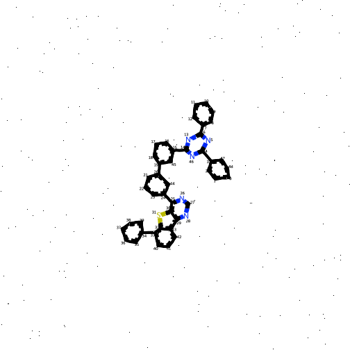 c1ccc(-c2nc(-c3ccccc3)nc(-c3cccc(-c4cccc(-c5ncnc6c5sc5c(-c7ccccc7)cccc56)c4)c3)n2)cc1